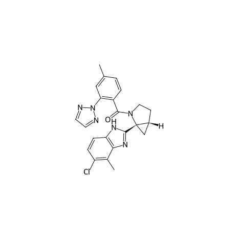 Cc1ccc(C(=O)N2CC[C@@H]3C[C@@]32c2nc3c(C)c(Cl)ccc3[nH]2)c(-n2nccn2)c1